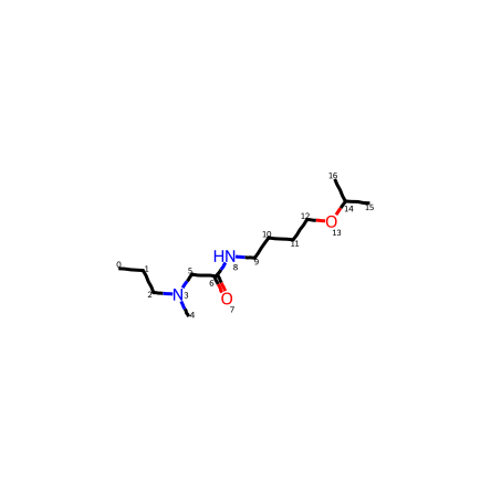 CCCN(C)CC(=O)NCCCCOC(C)C